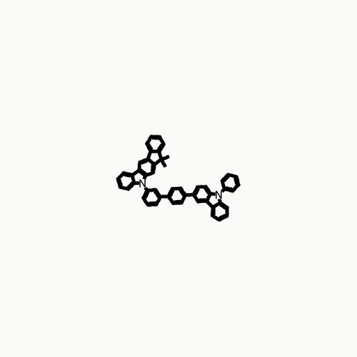 CC1(C)c2ccccc2-c2cc3c4ccccc4n(-c4cccc(-c5ccc(-c6ccc7c(c6)c6ccccc6n7-c6ccccc6)cc5)c4)c3cc21